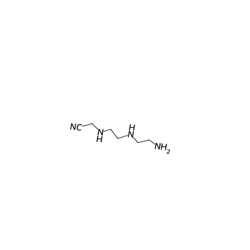 N#CCNCCNCCN